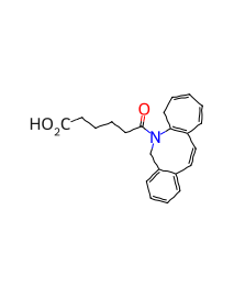 O=C(O)CCCCC(=O)N1Cc2ccccc2/C=C\C2=C1CC=CC=C2